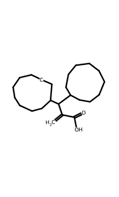 C=C(C(=O)O)C(C1CCCCCCCCC1)C1CCCCCCCCC1